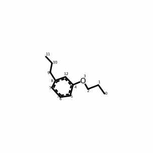 CCCOc1c[c]cc(CCC)c1